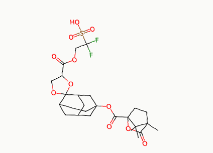 CC12CCC(C(=O)OC34CC5CC(C3)C3(OCC(C(=O)OCC(F)(F)S(=O)(=O)O)O3)C(C5)C4)(OC1=O)C2(C)C